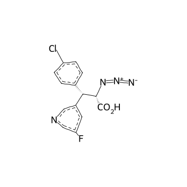 [N-]=[N+]=N[C@H](C(=O)O)[C@@H](c1ccc(Cl)cc1)c1cncc(F)c1